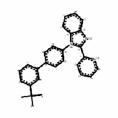 CC(C)(C)c1cccc(-c2ccc(-n3c(-c4ccccn4)nc4ccccc43)cc2)c1